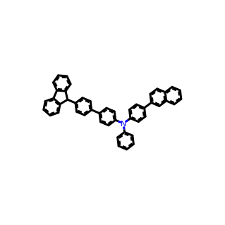 c1ccc(N(c2ccc(-c3ccc(C4c5ccccc5-c5ccccc54)cc3)cc2)c2ccc(-c3ccc4ccccc4c3)cc2)cc1